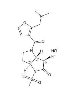 CC(C)[C@H]1C(=O)N(S(C)(=O)=O)[C@H]2CCN(C(=O)c3ccoc3CN(C)C)[C@H]12.Cl